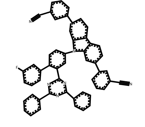 N#Cc1cccc(-c2ccc3c4ccc(-c5cccc(C#N)c5)cc4n(-c4ccc(-c5cccc(F)c5)c(-c5nc(-c6ccccc6)nc(-c6ccccc6)n5)c4)c3c2)c1